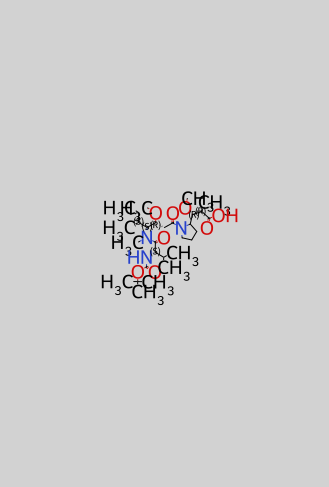 CC[C@H](C)[C@@H]([C@@H](CC(=O)N1CCCC1[C@H](OC)[C@@H](C)C(=O)O)OC)N(C)C(=O)[C@@H](NC(=O)OC(C)(C)C)C(C)C